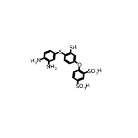 Nc1ccc(Sc2ccc(Oc3ccc(S(=O)(=O)O)cc3S(=O)(=O)O)cc2S)cc1N